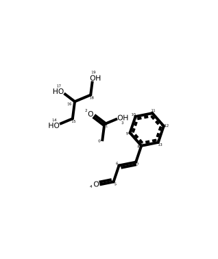 CC(=O)O.O=CC=Cc1ccccc1.OCC(O)CO